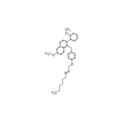 CCCCCCN=CCOc1ccc(Cc2c(-c3ccccc3OC)ccc3cc(OC)ccc23)cc1